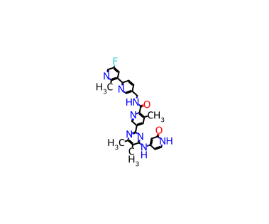 Cc1cc(-c2nc(C)c(C)c(Nc3cc[nH]c(=O)c3)n2)cnc1C(=O)NCc1ccc(-c2cc(F)cnc2C)nc1